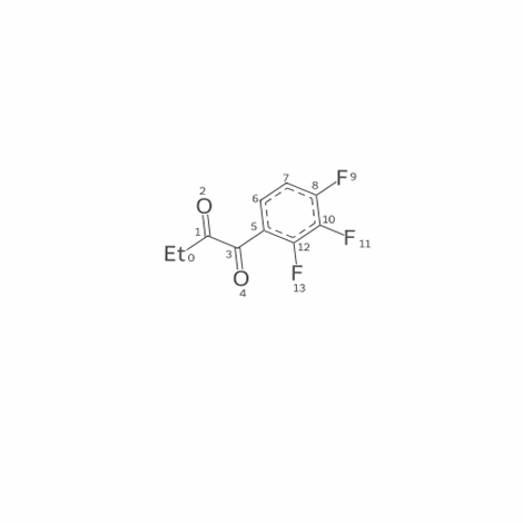 CCC(=O)C(=O)c1ccc(F)c(F)c1F